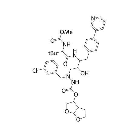 COC(=O)NC(C(=O)NC(Cc1ccc(-c2cccnc2)cc1)C(O)CN(Cc1cccc(Cl)c1)NC(=O)OC1COC2OCCC12)C(C)(C)C